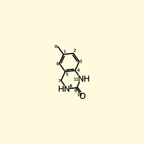 Cc1ccc2c(c1)CNC(=O)N2